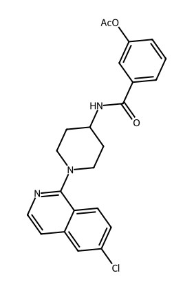 CC(=O)Oc1cccc(C(=O)NC2CCN(c3nccc4cc(Cl)ccc34)CC2)c1